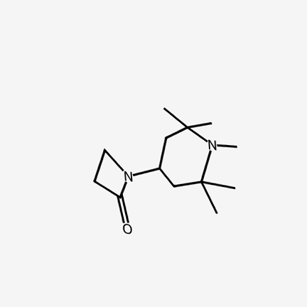 CN1C(C)(C)CC(N2CCC2=O)CC1(C)C